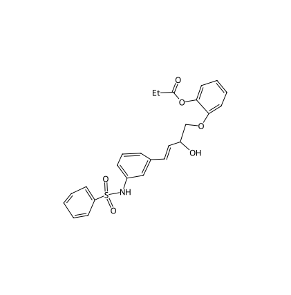 CCC(=O)Oc1ccccc1OCC(O)/C=C/c1cccc(NS(=O)(=O)c2ccccc2)c1